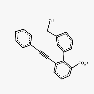 O=C(O)c1cccc(C#Cc2ccccc2)c1-c1cccc(CO)c1